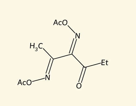 CCC(=O)C(=NOC(C)=O)C(C)=NOC(C)=O